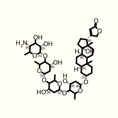 CC1O[C@@H](OC2C(C)O[C@@H](O[C@H]3CCC4(C)C5CCC6(C)[C@@H](C7=CC(=O)OC7)CC[C@]6(O)[C@@H]5CC[C@@H]4C3)C[C@H]2O)C[C@@H](O)C1O[C@H]1C[C@@H](O)C(O[C@@H]2OC(C)[C@H](N)C(O)[C@@H]2O)C(C)O1